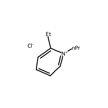 CCC[n+]1ccccc1CC.[Cl-]